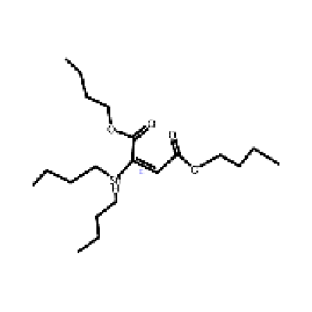 CCCCOC(=O)/C=[C](\C(=O)OCCCC)[SnH]([CH2]CCC)[CH2]CCC